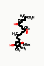 CCCCCCOC1=C(C)C(C)C(O)C=C1CCC(C)CCCC(C)(O)CCCC(C)(O)CCCC(C)C(=O)O